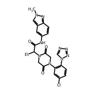 CCC(C(=O)Nc1ccc2nn(C)cc2c1)N1CC(=O)N(c2cc(Cl)ccc2-n2cnnn2)CC1=O